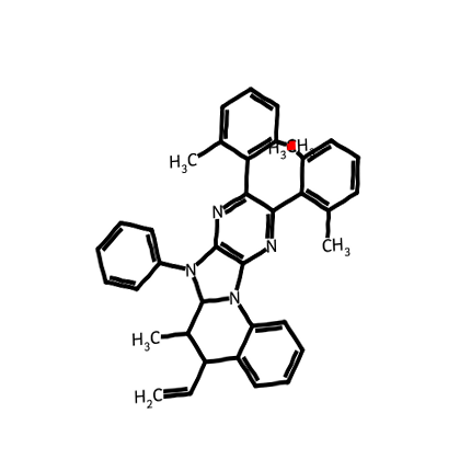 C=CC1c2ccccc2N2c3nc(-c4c(C)cccc4C)c(-c4c(C)cccc4C)nc3N(c3ccccc3)C2C1C